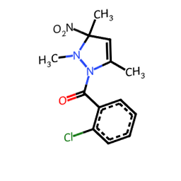 CC1=CC(C)([N+](=O)[O-])N(C)N1C(=O)c1ccccc1Cl